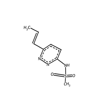 C/C=C/c1ccc(NS(C)(=O)=O)nn1